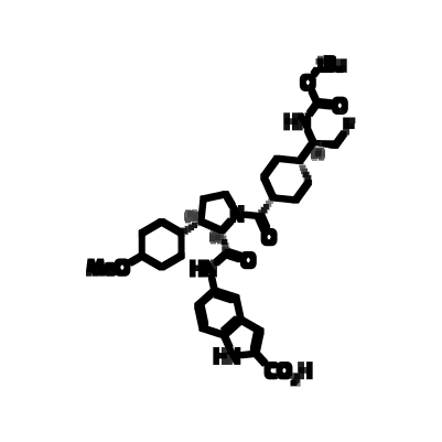 COC1CCC([C@@H]2CCN(C(=O)[C@H]3CC[C@@H]([C@H](CF)NC(=O)OC(C)(C)C)CC3)[C@@H]2C(=O)Nc2ccc3[nH]c(C(=O)O)cc3c2)CC1